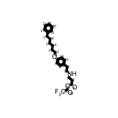 O=C(CCNCCc1ccc(OCCCCCCc2ccccc2)cc1)OC(=O)C(F)(F)F